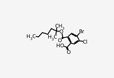 CCCCCC(C)(C)OC(=O)c1cc(Br)c(Cl)cc1C(=O)O